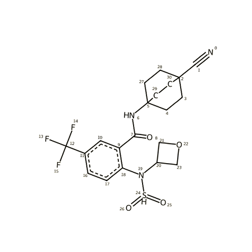 N#CC12CCC(NC(=O)c3cc(C(F)(F)F)ccc3N(C3COC3)[SH](=O)=O)(CC1)CC2